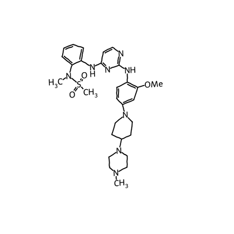 COc1cc(N2CCC(N3CCN(C)CC3)CC2)ccc1Nc1nccc(Nc2ccccc2N(C)S(C)(=O)=O)n1